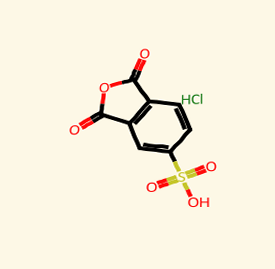 Cl.O=C1OC(=O)c2cc(S(=O)(=O)O)ccc21